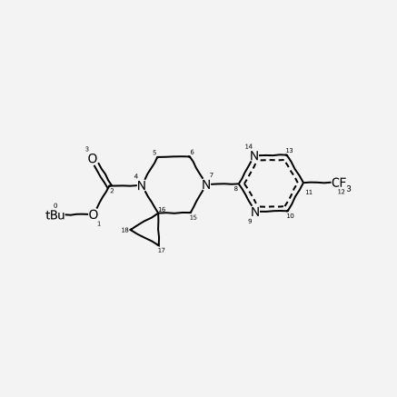 CC(C)(C)OC(=O)N1CCN(c2ncc(C(F)(F)F)cn2)CC12CC2